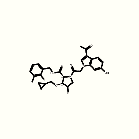 CC(=O)c1cn(CC(=O)N2CC(F)[C@@H](OCC3CC3)[C@H]2C(=O)NCc2cccc(C)c2F)c2cc(O)ccc12